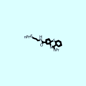 CCCSCCCNC(=O)c1ccc2c(c1)N=C(CCC)c1ccccc1S2